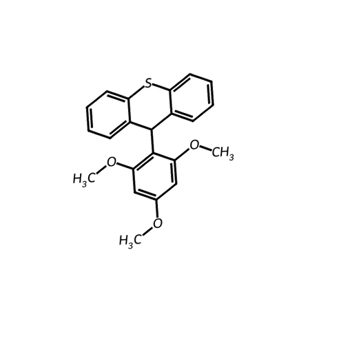 COc1cc(OC)c(C2c3ccccc3Sc3ccccc32)c(OC)c1